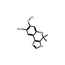 COc1cc2c(cc1OC(F)(F)F)[Se]C(C)(C)c1[nH]cnc1-2